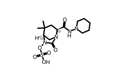 CC1(C)C[C@@H](C(=O)NN2CCCCC2)N2C[C@H]1N(OS(=O)(=O)O)C2=O